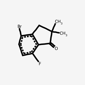 CC1(C)Cc2c(Br)ccc(F)c2C1=O